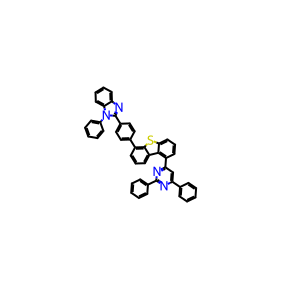 c1ccc(-c2cc(-c3cccc4sc5c(-c6ccc(-c7nc8ccccc8n7-c7ccccc7)cc6)cccc5c34)nc(-c3ccccc3)n2)cc1